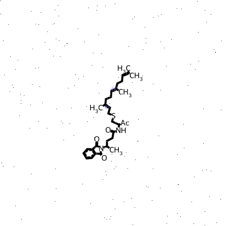 CC(=O)C(CSC/C=C(\C)CC/C=C(\C)CCC=C(C)C)NC(=O)CCC(C)N1C(=O)c2ccccc2C1=O